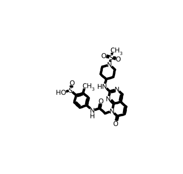 Cc1cc(NC(=O)Cn2c(=O)ccc3cnc(NC4CCN(S(C)(=O)=O)CC4)nc32)ccc1S(=O)O